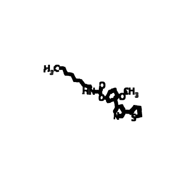 CCCCCCCCNC(=O)Oc1ccc(OC)c(-c2cncc(-c3cccs3)c2)c1